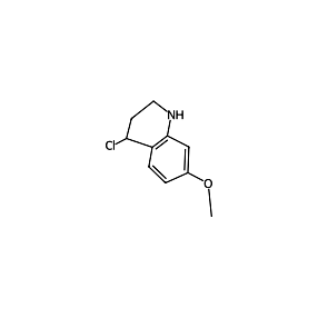 COc1ccc2c(c1)NCCC2Cl